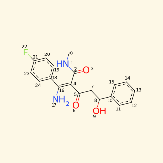 CNC(=O)C(C(=O)CC(O)c1ccccc1)=C(N)c1ccc(F)cc1